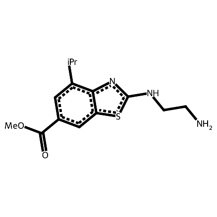 COC(=O)c1cc(C(C)C)c2nc(NCCN)sc2c1